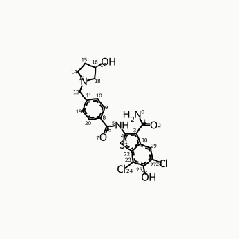 NC(=O)c1c(NC(=O)c2ccc(CN3CC[C@@H](O)C3)cc2)sc2c(Cl)c(O)c(Cl)cc12